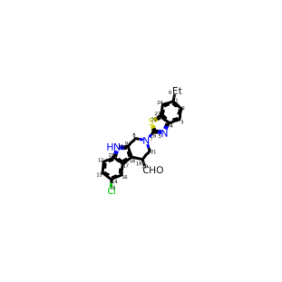 CCc1ccc2nc(N3Cc4[nH]c5ccc(Cl)cc5c4C(C=O)C3)sc2c1